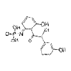 CCC(C(=O)C1C(O)=CC=C/C1=N\P(=O)(O)O)c1cccc(O)c1